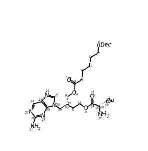 CCCCCCCCCCCCCCCC(=O)OC[C@H](CCOC(=O)[C@@H](N)C(C)CC)Cn1cnc2cnc(N)nc21